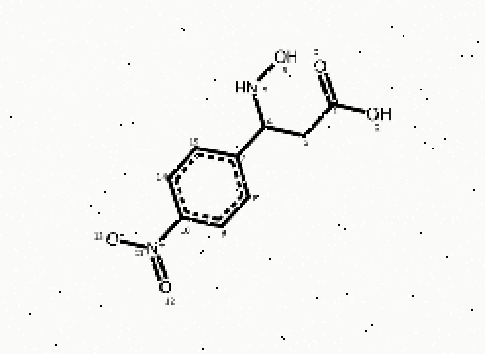 O=C(O)CC(NO)c1ccc([N+](=O)[O-])cc1